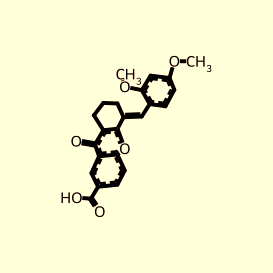 COc1ccc(C=C2CCCc3c2oc2ccc(C(=O)O)cc2c3=O)c(OC)c1